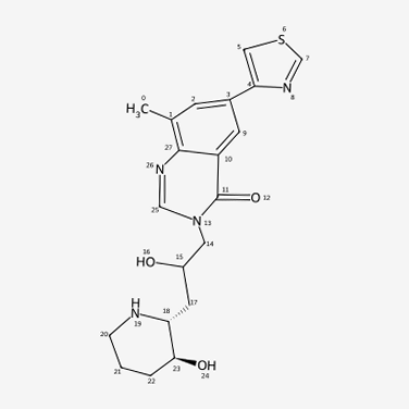 Cc1cc(-c2cscn2)cc2c(=O)n(CC(O)C[C@H]3NCCC[C@@H]3O)cnc12